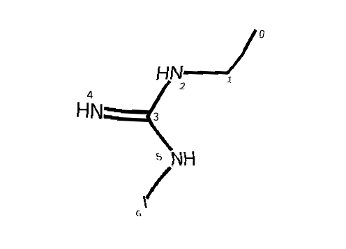 CCNC(=N)NI